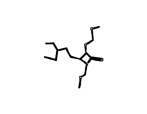 CCC(CC)CC[C@H]1[C@@H](OCOC)C(=O)N1COC